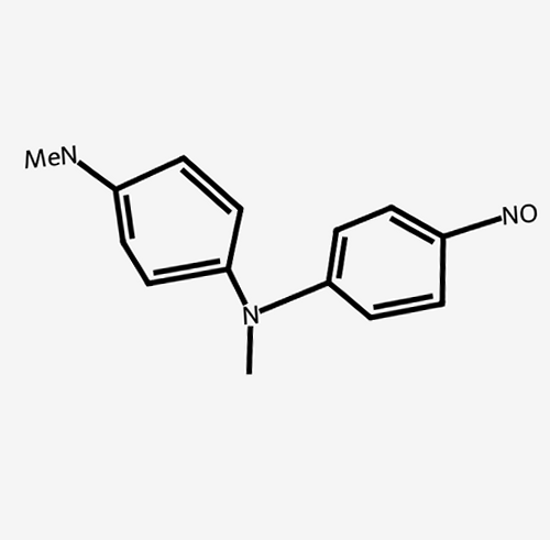 CNc1ccc(N(C)c2ccc(N=O)cc2)cc1